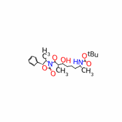 C[C@@H]1[C@H](c2ccccc2)OC(=O)N1C(=O)[C@H](C)C(O)CCC[C@H](C)NC(=O)OC(C)(C)C